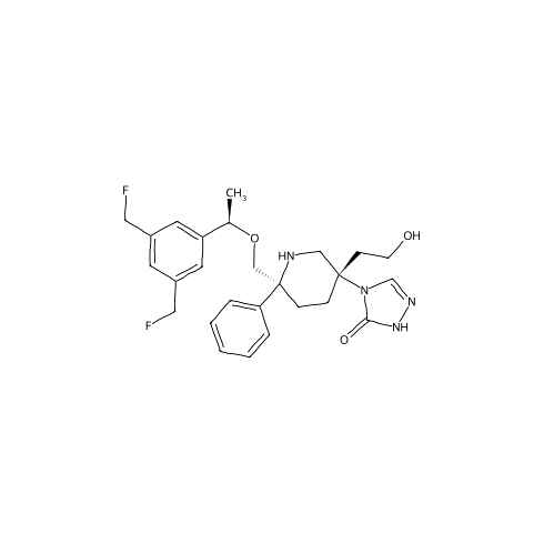 C[C@@H](OC[C@@]1(c2ccccc2)CC[C@@](CCO)(n2cn[nH]c2=O)CN1)c1cc(CF)cc(CF)c1